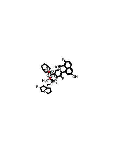 C#Cc1c(F)ccc2cc(O)cc(-c3ncc4c(N5CC6CCC(C5)N6C(=O)OC(C)(C)C)nc(OC[C@@]56CCCN5C[C@H](F)C6)nc4c3F)c12